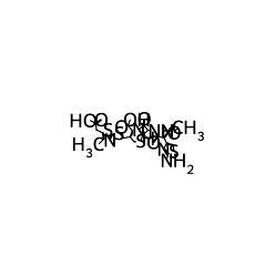 CON=C(C(=O)N[C@@H]1C(=O)N2C(C(=O)O)=C(CSc3nc(C)c(CC(=O)O)s3)CS[C@@H]12)c1csc(N)n1